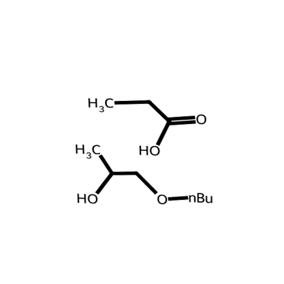 CCC(=O)O.CCCCOCC(C)O